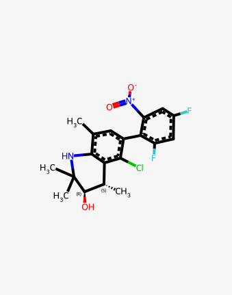 Cc1cc(-c2c(F)cc(F)cc2[N+](=O)[O-])c(Cl)c2c1NC(C)(C)[C@H](O)[C@H]2C